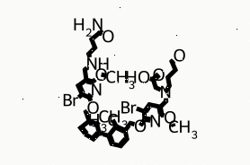 COc1nc(OCc2cccc(-c3cccc(COc4nc(OC)c(CN(CCCC=O)CC(=O)O)cc4Br)c3C)c2C)c(Br)cc1CNCCCC(N)=O